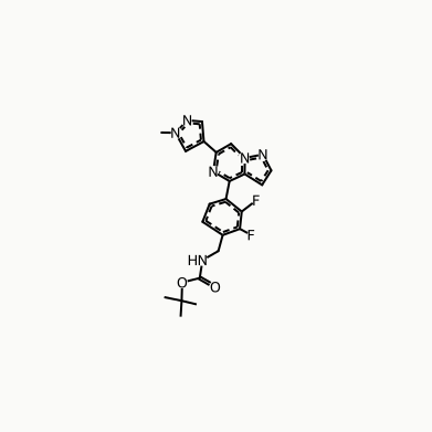 Cn1cc(-c2cn3nccc3c(-c3ccc(CNC(=O)OC(C)(C)C)c(F)c3F)n2)cn1